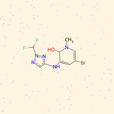 CN1C=C(Br)C=C(Nc2cnn(C(F)F)n2)C1O